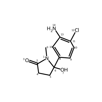 CN1C(=O)CCC1(O)c1ccc(Cl)c(N)c1